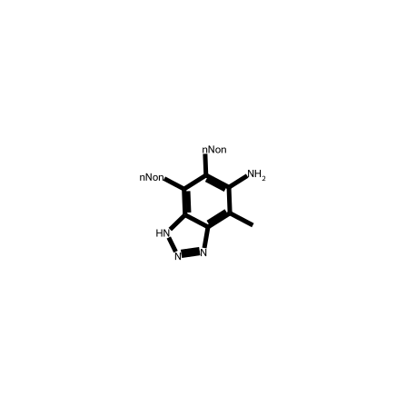 CCCCCCCCCc1c(N)c(C)c2nn[nH]c2c1CCCCCCCCC